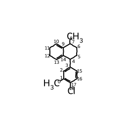 Cc1cc(C2CCC(C)C3=CCCC=C32)ccc1Cl